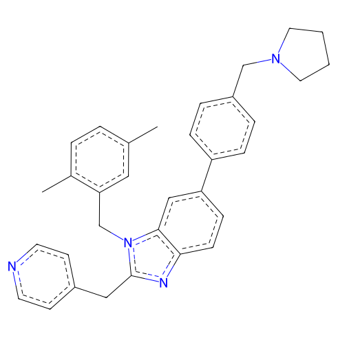 Cc1ccc(C)c(Cn2c(Cc3ccncc3)nc3ccc(-c4ccc(CN5CCCC5)cc4)cc32)c1